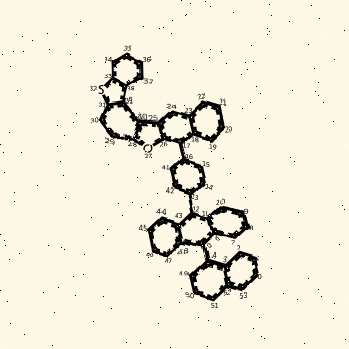 c1ccc2c(-c3c4ccccc4c(-c4ccc(-c5c6ccccc6cc6c5oc5ccc7sc8ccccc8c7c56)cc4)c4ccccc34)cccc2c1